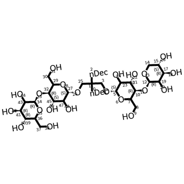 CCCCCCCCCCC(CCCCCCCCCC)(CO[C@H]1OC(CO)[C@H](O[C@H]2OC[C@H](O)[C@@H](O)C2O)[C@@H](O)C1O)CO[C@H]1OC(CO)[C@H](O[C@H]2OC(CO)[C@H](O)[C@@H](O)C2O)[C@@H](O)C1O